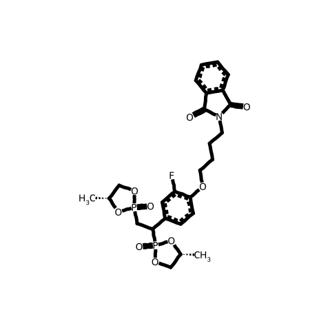 C[C@@H]1COP(=O)(CC(c2ccc(OCCCCN3C(=O)c4ccccc4C3=O)c(F)c2)P2(=O)OC[C@@H](C)O2)O1